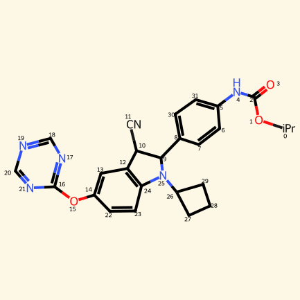 CC(C)OC(=O)Nc1ccc(C2C(C#N)c3cc(Oc4ncncn4)ccc3N2C2CCC2)cc1